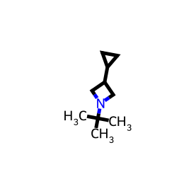 CC(C)(C)N1CC(C2CC2)C1